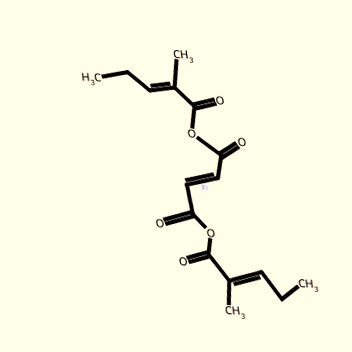 CCC=C(C)C(=O)OC(=O)/C=C/C(=O)OC(=O)C(C)=CCC